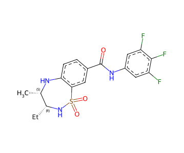 CC[C@H]1NS(=O)(=O)c2cc(C(=O)Nc3cc(F)c(F)c(F)c3)ccc2N[C@H]1C